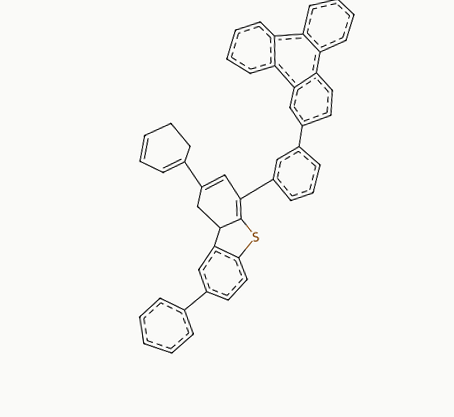 C1=CCCC(C2=CC(c3cccc(-c4ccc5c6ccccc6c6ccccc6c5c4)c3)=C3Sc4ccc(-c5ccccc5)cc4C3C2)=C1